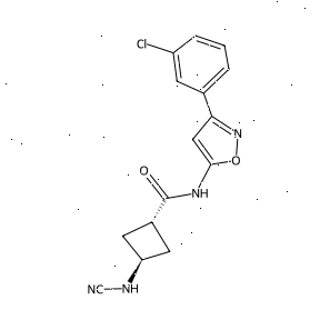 N#CN[C@H]1C[C@H](C(=O)Nc2cc(-c3cccc(Cl)c3)no2)C1